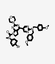 COc1ccc(CN(Cc2ccc(OC)cc2)c2ncc(-c3nc(N4CCOCC4)nc4c3CCN4C(=O)N(C)c3ccc(Br)cc3)cn2)cc1